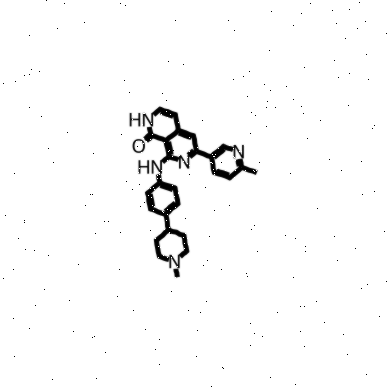 Cc1ccc(-c2cc3cc[nH]c(=O)c3c(Nc3ccc(C4CCN(C)CC4)cc3)n2)cn1